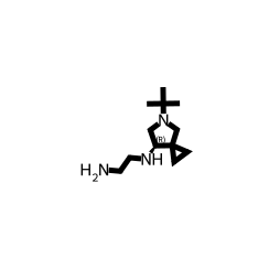 CC(C)(C)N1C[C@H](NCCN)C2(CC2)C1